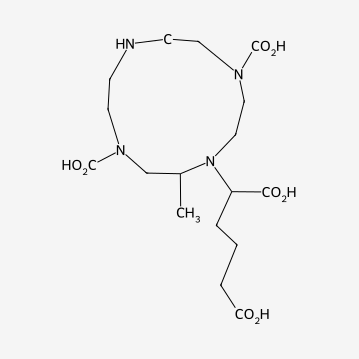 CC1CN(C(=O)O)CCNCCN(C(=O)O)CCN1C(CCCC(=O)O)C(=O)O